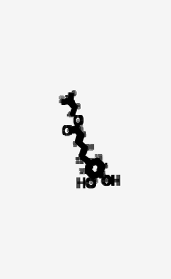 CC(C)=CCOC(=O)/C=C/C=C/c1ccc(O)c(O)c1